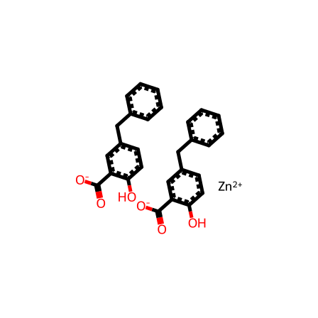 O=C([O-])c1cc(Cc2ccccc2)ccc1O.O=C([O-])c1cc(Cc2ccccc2)ccc1O.[Zn+2]